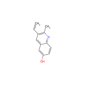 C=Cc1cc2cc(O)ccc2nc1C